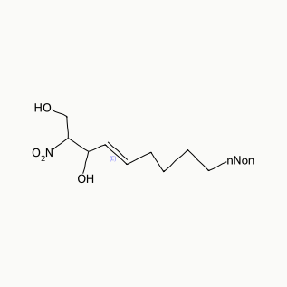 CCCCCCCCCCCCC/C=C/C(O)C(CO)[N+](=O)[O-]